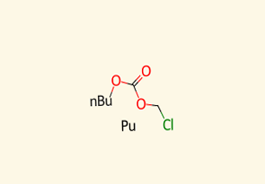 CCCCOC(=O)OCCl.[Pu]